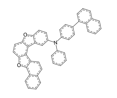 c1ccc(N(c2ccc(-c3cccc4ccccc34)cc2)c2ccc3oc4ccc5oc6c7ccccc7ccc6c5c4c3c2)cc1